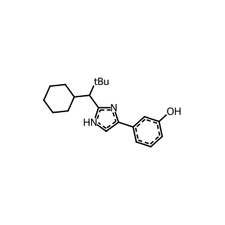 CC(C)(C)C(c1nc(-c2cccc(O)c2)c[nH]1)C1CCCCC1